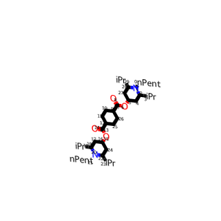 CCCCCN1C(C(C)C)CC(OC(=O)C2CCC(C(=O)OC3CC(C(C)C)N(CCCCC)C(C(C)C)C3)CC2)CC1C(C)C